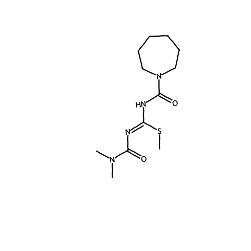 CSC(=NC(=O)N(C)C)NC(=O)N1CCCCCC1